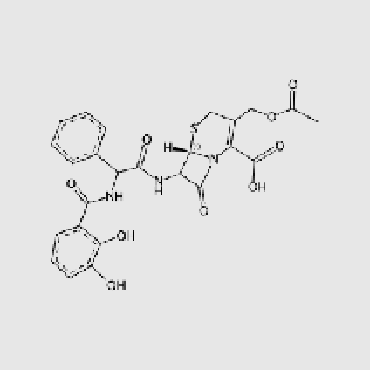 CC(=O)OCC1=C(C(=O)O)N2C(=O)C(NC(=O)C(NC(=O)c3cccc(O)c3O)c3ccccc3)[C@@H]2SC1